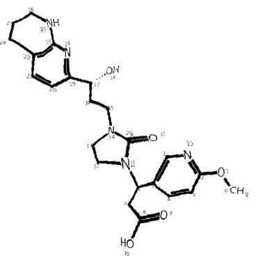 COc1ccc(C(CC(=O)O)N2CCN(CC[C@@H](O)c3ccc4c(n3)NCCC4)C2=O)cn1